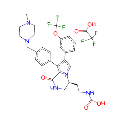 CN1CCN(Cc2ccc(-c3c(-c4cccc(OC(F)(F)F)c4)cn4c3C(=O)NC[C@@H]4CCNC(=O)O)cc2)CC1.O=C(O)C(F)(F)F